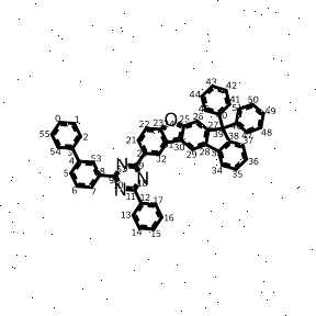 c1ccc(-c2cccc(-c3nc(-c4ccccc4)nc(-c4ccc5oc6cc7c(cc6c5c4)-c4ccccc4C7(c4ccccc4)c4ccccc4)n3)c2)cc1